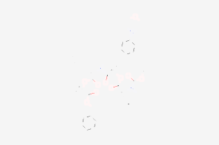 C[C@@H](OC(=O)[C@H](CCC1CC1)N(C)C(=O)[C@@H](CCc1ccc(N2CCOCC2)cc1)OC(=O)[C@H](CC(C)(C)F)N(C)C(=O)OC(C)(C)C)C(=O)OCc1ccccc1